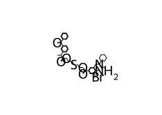 CCN(Cc1cc(C(=O)OCCSCCOC(=O)C(C)c2cccc(C(=O)c3ccccc3)c2)cc(Br)c1N)C1CCCCC1